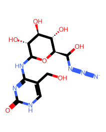 [N-]=[N+]=NC(O)[C@H]1OC(Nc2nc(=O)[nH]cc2CO)[C@H](O)[C@@H](O)[C@@H]1O